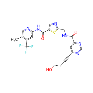 Cc1cnc(NC(=O)c2cnc(CNC(=O)c3cc(C#CCCO)ncn3)s2)cc1C(F)(F)F